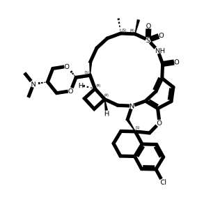 C[C@@H]1[C@@H](C)CCC[C@H]([C@H]2OC[C@@H](N(C)C)CO2)[C@@H]2CC[C@H]2CN2C[C@@]3(CCCc4cc(Cl)ccc43)COc3ccc(cc32)C(=O)NS1(=O)=O